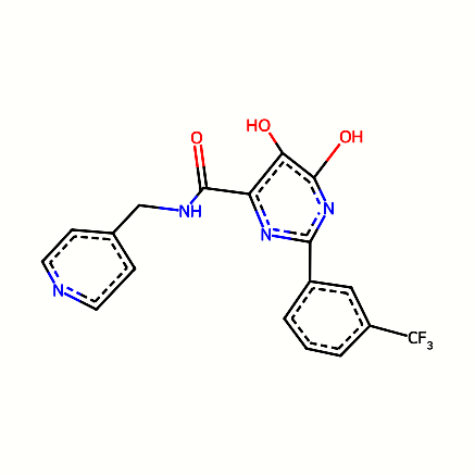 O=C(NCc1ccncc1)c1nc(-c2cccc(C(F)(F)F)c2)nc(O)c1O